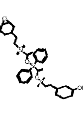 CC(O[Si](c1ccccc1)(c1ccccc1)C(C)O[Si](C)(C)CCC1CCCC(O)C1)[Si](C)(C)CCC1CCC2OC2C1